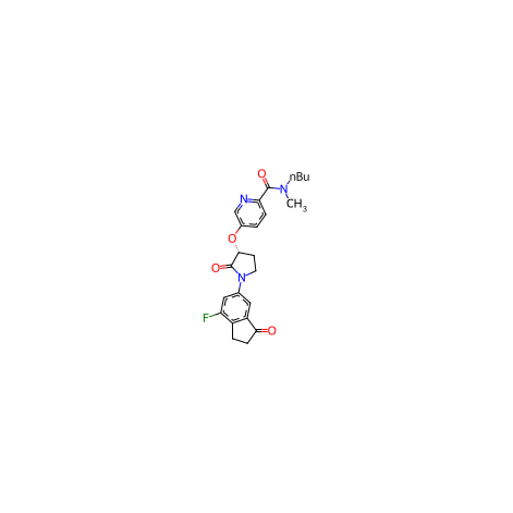 CCCCN(C)C(=O)c1ccc(O[C@@H]2CCN(c3cc(F)c4c(c3)C(=O)CC4)C2=O)cn1